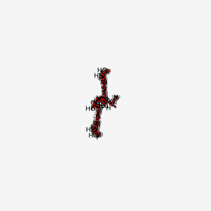 C#Cc1ccc(CNC(=O)[C@@H]2C[C@@H](O)CN2C(=O)[C@@H](NC(=O)[C@H]2CCC3(CC2)C[C@H](N2CCC(c4cnc(N5CCN6c7cc(-c8ccccc8O)nnc7NC[C@H]6C5)nc4)CC2)C3)C(C)(C)Cc2cc(CNC(=O)[C@@H]3C[C@@H](O)CN3C(=O)[C@@H](NC(=O)[C@H]3CCC4(CC3)C[C@H](N3CCC(c5cnc(N6CCN7c8cc(-c9cccc(F)c9O)nnc8NC[C@H]7C6)nc5)CC3)C4)C(C)(C)C)ccc2C#C)c(OCCCN(C)C)c1